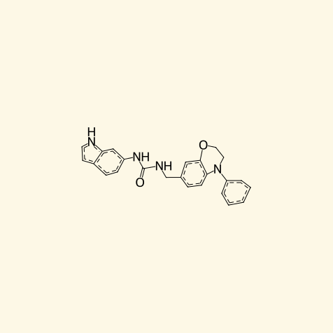 O=C(NCc1ccc2c(c1)OCCN2c1ccccc1)Nc1ccc2cc[nH]c2c1